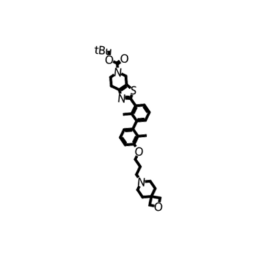 Cc1c(OCCCN2CCC3(CC2)COC3)cccc1-c1cccc(-c2nc3c(s2)CN(C(=O)OC(C)(C)C)CC3)c1C